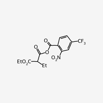 CCOC(=O)C(CC)C(=O)OC(=O)c1ccc(C(F)(F)F)cc1[N+](=O)[O-]